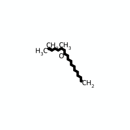 C=CCCCCCCCCCC(=O)CC(C)CCC=C(C)C